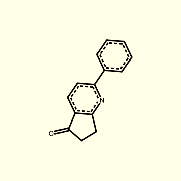 O=C1CCc2nc(-c3ccccc3)ccc21